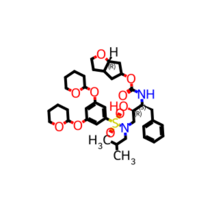 CC(C)CN(C[C@@H](O)[C@H](Cc1ccccc1)NC(=O)OC1CC2CCO[C@@H]2C1)S(=O)(=O)c1cc(OC2CCCCO2)cc(OC2CCCCO2)c1